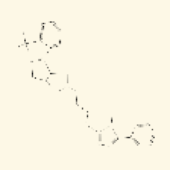 Cn1c(SCCCN2C[C@H]3CCN(c4ccccc4C(F)(F)F)[C@H]3C2)nnc1-c1ccccn1